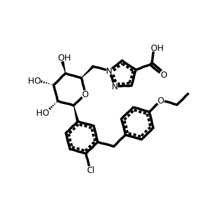 CCOc1ccc(Cc2cc([C@@H]3O[C@H](Cn4cc(C(=O)O)cn4)[C@H](O)[C@@H](O)[C@H]3O)ccc2Cl)cc1